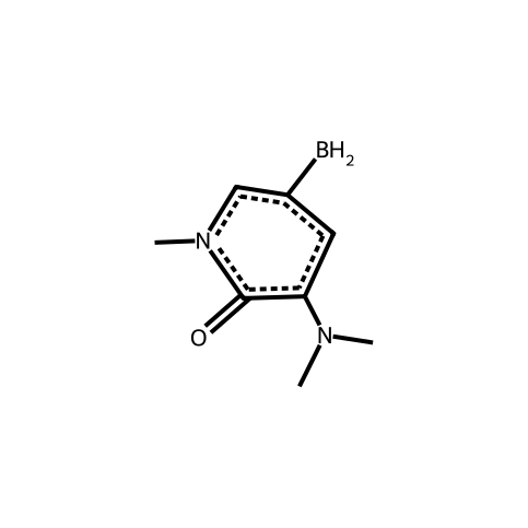 Bc1cc(N(C)C)c(=O)n(C)c1